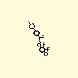 COc1ccc(OCCC(F)c2ccc(C3CCC(C)CC3)cc2)c(F)c1F